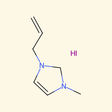 C=CCN1C=CN(C)C1.I